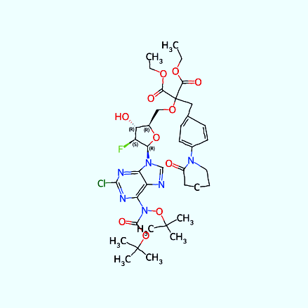 CCOC(=O)C(Cc1ccc(N2CCCCC2=O)cc1)(OC[C@H]1O[C@@H](n2cnc3c(N(OC(C)(C)C)C(=O)OC(C)(C)C)nc(Cl)nc32)[C@@H](F)[C@@H]1O)C(=O)OCC